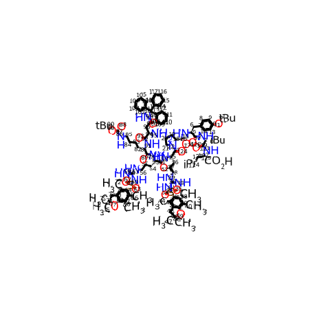 CC[C@H](C)[C@H](NC(=O)[C@H](Cc1ccc(OC(C)(C)C)cc1)NC(=O)[C@@H]1CCCN1C(=O)[C@H](CCCNC(=N)NS(=O)(=O)c1c(C)c(C)c2c(c1C)CC(C)(C)O2)NC(=O)[C@H](CCCNC(=N)NS(=O)(=O)c1c(C)c(C)c2c(c1C)CC(C)(C)O2)NC(=O)[C@H](CCCCNC(=O)OC(C)(C)C)NC(=O)[C@@H](N)CC(=O)NC(c1ccccc1)(c1ccccc1)c1ccccc1)C(=O)N[C@@H](CC(C)C)C(=O)O